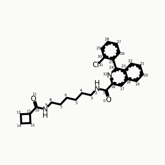 O=C(NCCCCCCNC(=O)C1CCC1)c1cc2ccccc2c(-c2ccccc2Cl)n1